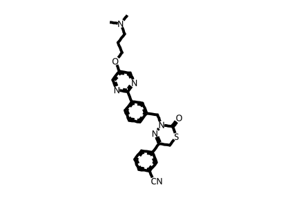 CN(C)CCCOc1cnc(-c2cccc(CN3N=C(c4cccc(C#N)c4)CSC3=O)c2)nc1